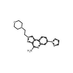 Nc1nc2cc(-n3cccn3)ccc2c2cn(CCN3CCOCC3)nc12